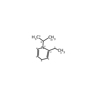 CCC1=CCC=CN1C(C)C